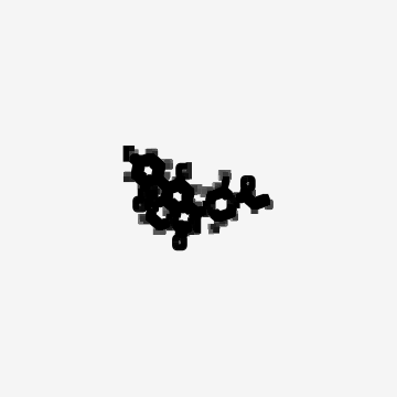 C=CC(=O)N1C[C@H](C)N(c2nc(=O)n3c4c(c(-c5ccc(F)cc5F)c(Cl)cc24)S(=O)(=O)CC3)C[C@H]1C